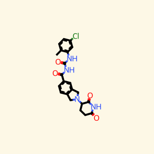 Cc1ccc(Cl)cc1NC(=O)NC(=O)c1ccc2c(c1)CN(C1CCC(=O)NC1=O)C2